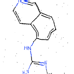 N#CN=C(N)Nc1cccc2cnccc12